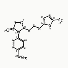 CCCCCCc1ccc(N2C(=O)COC2CCCc2ccc(C(C)=O)s2)cc1